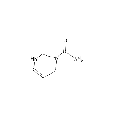 NC(=O)N1CC=CNC1